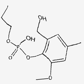 CCCOP(=O)(O)Oc1c(CO)cc(C)cc1OC